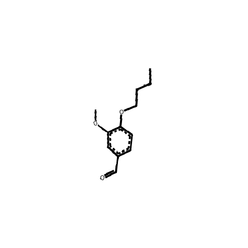 CCCCOc1ccc(C=O)cc1OC